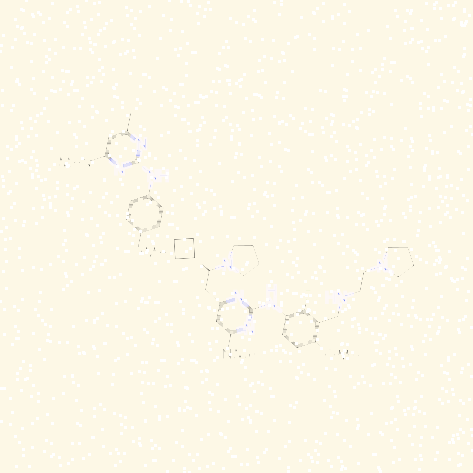 CNc1cc(C)nc(Nc2ccc(OC)c([C@H]3C[C@H](C(Cc4cc(NC)nc(Nc5ccc(OC)c(CNCCN6CCCC6)c5F)n4)N4CCCC4)C3)c2)n1